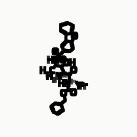 CC(C)C[C@H](NC(=O)OCc1ccccc1)C(=O)[C@@H](N)C(O)C(C)NS(=O)(=O)c1ccc2oc3ccccc3c2c1